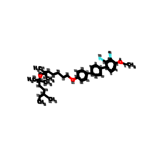 CCOc1ccc(-c2ccc(-c3ccc(OCCCCC[Si](C)(C)O[Si](C)(C)CCC(C)CC)cc3)cc2)c(F)c1F